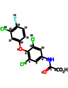 O=C(O)C(=O)Nc1cc(Cl)c(Oc2ccc(F)c(Cl)c2)c(Cl)c1